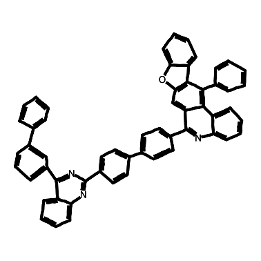 c1ccc(-c2cccc(-c3nc(-c4ccc(-c5ccc(-c6nc7ccccc7c7c(-c8ccccc8)c8c(cc67)oc6ccccc68)cc5)cc4)nc4ccccc34)c2)cc1